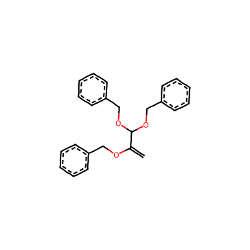 C=C(OCc1ccccc1)[C](OCc1ccccc1)OCc1ccccc1